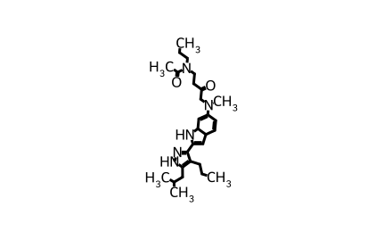 CCCc1c(C2=CC3C=CC(N(C)CC(=O)CCN(CCC)C(C)=O)=CC3N2)n[nH]c1CC(C)C